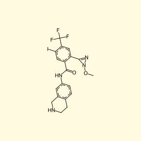 CON1N=C1c1cc(C(F)(F)F)c(I)cc1C(=O)Nc1ccc2c(c1)CNCC2